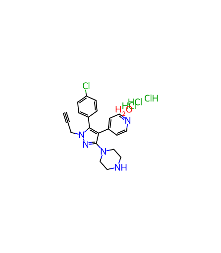 C#CCn1nc(N2CCNCC2)c(-c2ccncc2)c1-c1ccc(Cl)cc1.Cl.Cl.Cl.O